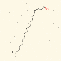 CCCCCCCCCCCCCC/C=C\CC=O